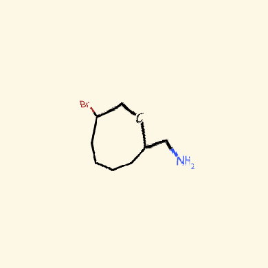 NCC1CCCCC(Br)CC1